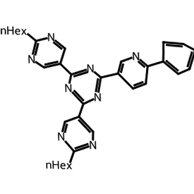 CCCCCCc1ncc(-c2nc(-c3ccc(-c4ccccc4)nc3)nc(-c3cnc(CCCCCC)nc3)n2)cn1